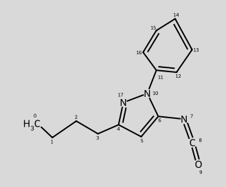 CCCCc1cc(N=C=O)n(-c2ccccc2)n1